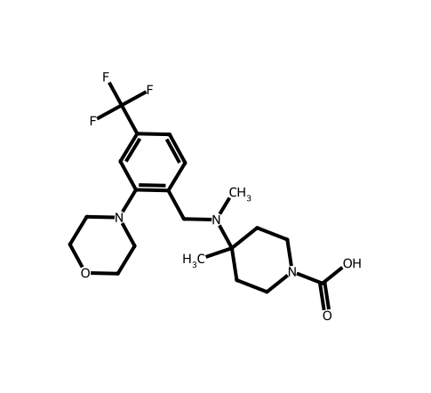 CN(Cc1ccc(C(F)(F)F)cc1N1CCOCC1)C1(C)CCN(C(=O)O)CC1